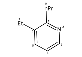 CCCc1ncccc1CC